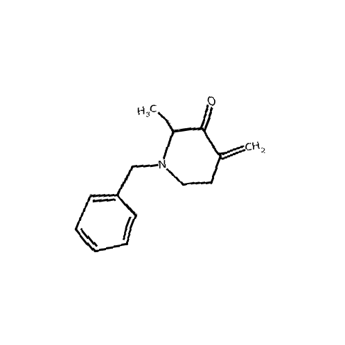 C=C1CCN(Cc2ccccc2)C(C)C1=O